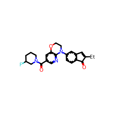 CCC1=Cc2cc(N3CCOc4cc(C(=O)N5CCCC(F)C5)cnc43)ccc2C1=O